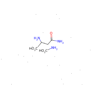 NC(=O)CC(N)C(=O)O.NC(=O)O